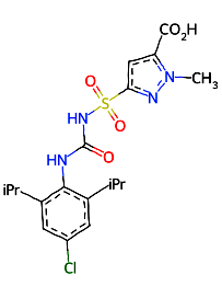 CC(C)c1cc(Cl)cc(C(C)C)c1NC(=O)NS(=O)(=O)c1cc(C(=O)O)n(C)n1